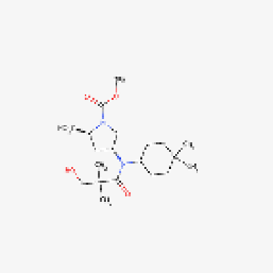 CC1(C)CCC(N(C(=O)C(C)(C)CO)[C@H]2C[C@@H](C(=O)O)N(C(=O)OC(C)(C)C)C2)CC1